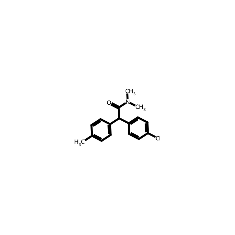 Cc1ccc(C(C(=O)N(C)C)c2ccc(Cl)cc2)cc1